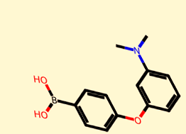 CN(C)c1cccc(Oc2ccc(B(O)O)cc2)c1